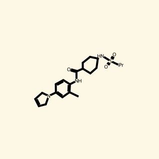 Cc1cc(N2CC=CC2)ccc1NC(=O)C1CCC(NS(=O)(=O)C(C)C)CC1